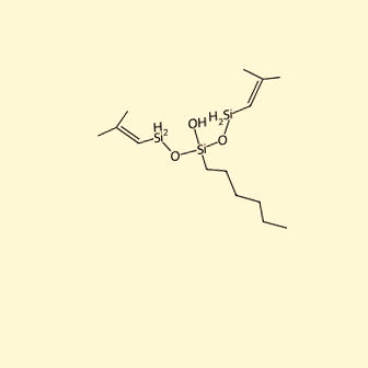 CCCCCC[Si](O)(O[SiH2]C=C(C)C)O[SiH2]C=C(C)C